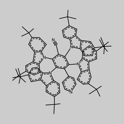 CC(C)(C)c1ccc2c(c1)c1cc(C(C)(C)C)ccc1n2-c1c(C#N)c(-n2c3ccc(C(C)(C)C)cc3c3cc(C(C)(C)C)ccc32)c(-n2c3ccc(C(C)(C)C)cc3c3cc(C(C)(C)C)ccc32)c(-c2ccncc2)c1-n1c2ccc(C(C)(C)C)cc2c2cc(C(C)(C)C)ccc21